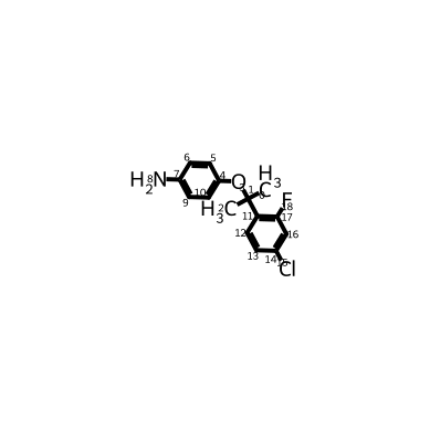 CC(C)(Oc1ccc(N)cc1)c1ccc(Cl)cc1F